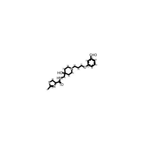 CC1=NC(C(=O)NCC2(O)CCN(CCCOc3cccc(C=O)c3)CC2)CS1